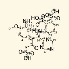 COc1ccc2c(C(=O)CS(=O)(=O)O)c(C3=NC=NCN3c3ccc(S(=O)(=O)O)c(S(=O)(=O)O)c3N)ccc2c1N